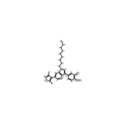 Cc1noc(C)c1-c1cnc2c(-c3ccc(O)c(Cl)c3)cn(CCCCCCCCF)c2c1